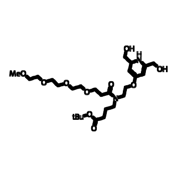 COCCOCCOCCOCCC(=O)N(CCCC(=O)OC(C)(C)C)CCOC1=CC(CO)NC(CO)=C1